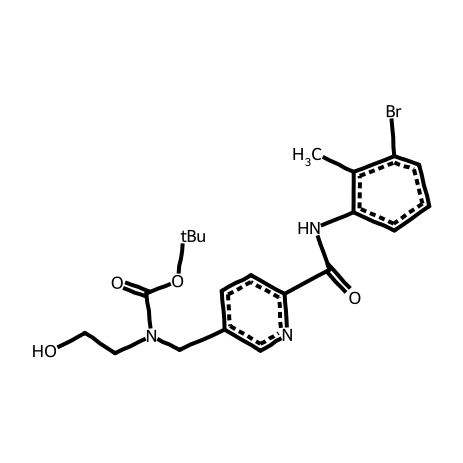 Cc1c(Br)cccc1NC(=O)c1ccc(CN(CCO)C(=O)OC(C)(C)C)cn1